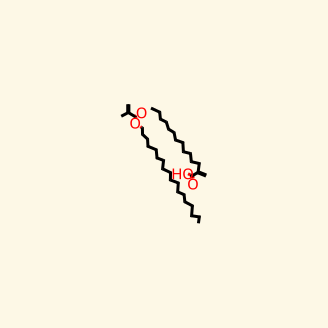 C=C(C)C(=O)OCCCCCCCCCCCCCCCCCC.C=C(CCCCCCCCCCCC)C(=O)O